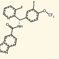 O=C(N[C@@H](c1ccc(OC(F)(F)F)c(F)c1)c1ncccc1F)c1ccc2nccn2c1